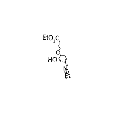 CCON=Cc1ccc(OCCCC(=O)OCC)cc1.Cl